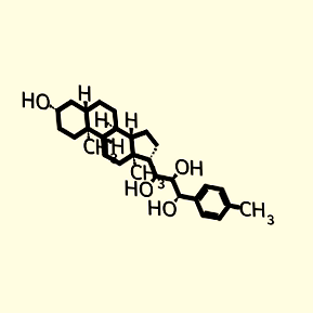 Cc1ccc([C@H](O)[C@H](O)[C@@H](O)[C@H]2CC[C@H]3[C@@H]4CC[C@H]5C[C@@H](O)CC[C@]5(C)[C@H]4CC[C@]23C)cc1